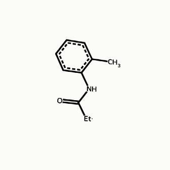 C[CH]C(=O)Nc1ccccc1C